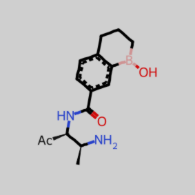 CC(=O)[C@@H](NC(=O)c1ccc2c(c1)B(O)CCC2)[C@H](C)N